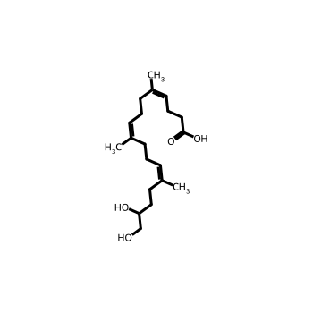 CC(=CCCC(=O)O)CCC=C(C)CCC=C(C)CCC(O)CO